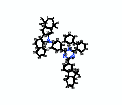 CC1(C)CCC(C)(C)c2cc3c(cc21)c1ccc2ccccc2c1n3-c1ccc(-c2nc(-c3ccc4c(c3)C(C)(C)c3ccccc3-4)nc(-c3ccccc3-c3ccccc3)n2)cc1